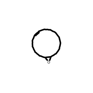 C1=C\CCCCC2OC2CCCCCCC/1